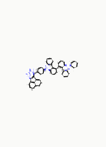 c1ccc(-n2c3ccccc3c3c(-c4cccc5c4c4ccccc4n5-c4ccc(-c5ncnc6c5-c5cccc7cccc-6c57)cc4)cccc32)cc1